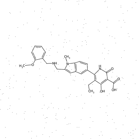 CCc1c(-c2ccc3c(c2)cc(CNCc2ccccc2OC)n3C)[nH]c(=O)c(C(=O)O)c1O